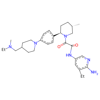 CCc1cc(NC(=O)C(=O)N2C[C@@H](C)CC[C@@H]2c2ccc(N3CCC(CN(C)CC)CC3)cc2)cnc1N